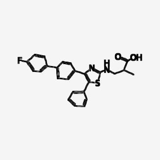 CC(CNc1nc(-c2ccc(-c3ccc(F)cc3)cc2)c(-c2ccccc2)s1)C(=O)O